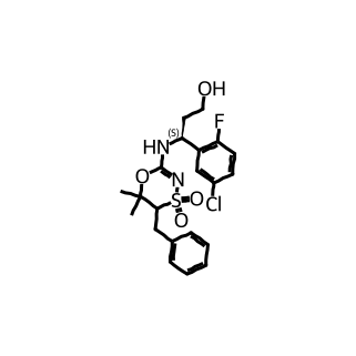 CC1(C)OC(N[C@@H](CCO)c2cc(Cl)ccc2F)=NS(=O)(=O)C1Cc1ccccc1